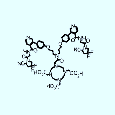 N#C[C@@H]1CC(F)(F)CN1C(=O)CNC(=O)c1ccncc1-c1ccc(OCCCN(CCCOc2ccc(-c3cnccc3C(=O)NCC(=O)N3CC(F)(F)C[C@H]3C#N)cc2)C(=O)CN2CCN(CC(=O)O)CCN(CC(=O)O)CCN(CC(=O)O)CC2)cc1